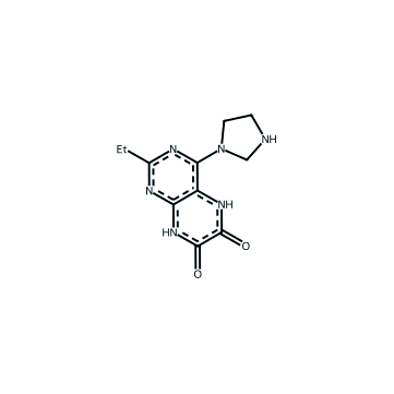 CCc1nc(N2CCNC2)c2[nH]c(=O)c(=O)[nH]c2n1